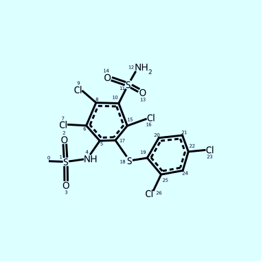 CS(=O)(=O)Nc1c(Cl)c(Cl)c(S(N)(=O)=O)c(Cl)c1Sc1ccc(Cl)cc1Cl